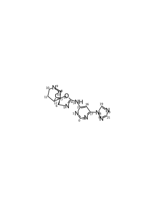 c1nc(NC2=NC[C@@]3(CN4CCC3CC4)O2)cc(-n2cncn2)n1